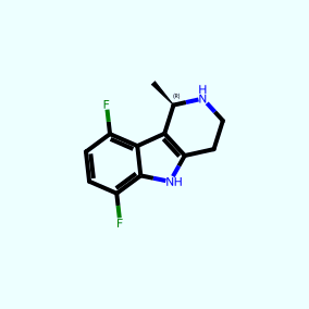 C[C@H]1NCCc2[nH]c3c(F)ccc(F)c3c21